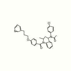 CC(=O)N(c1ccc(Cl)cc1)C1CC(C)N(C(=O)c2ccc(OCCCc3cccnc3)cc2)c2ccccc21